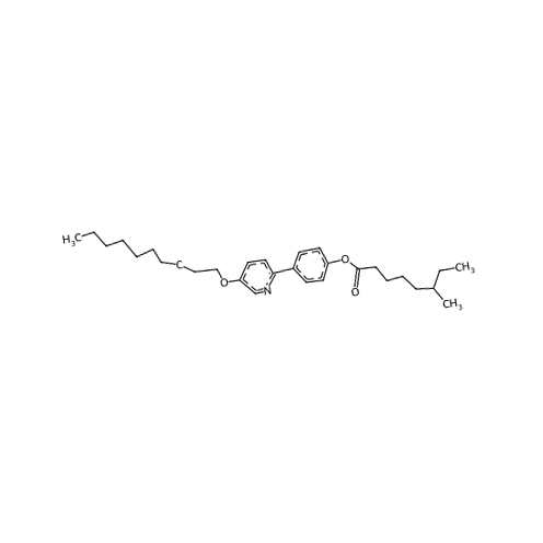 CCCCCCCCCCOc1ccc(-c2ccc(OC(=O)CCCCC(C)CC)cc2)nc1